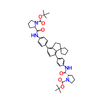 CC(C)(C)OC(=O)N1CCCC1C(=O)Nc1ccc(-c2ccc(-c3ccc(NC(=O)[C@@H]4CCCN4C(=O)OC(C)(C)C)cc3)c3c2CCC32CCCC2)cc1